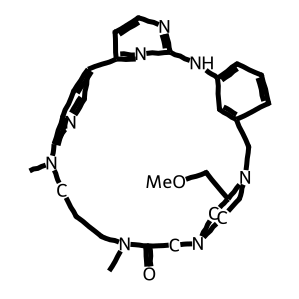 COCC1CN2CCN1Cc1cccc(c1)Nc1nccc(n1)-c1ccc(nc1)N(C)CCCN(C)C(=O)C2